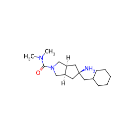 CN(C)C(=O)N1C[C@@H]2C[C@@](N)(CC3CCCCC3)C[C@@H]2C1